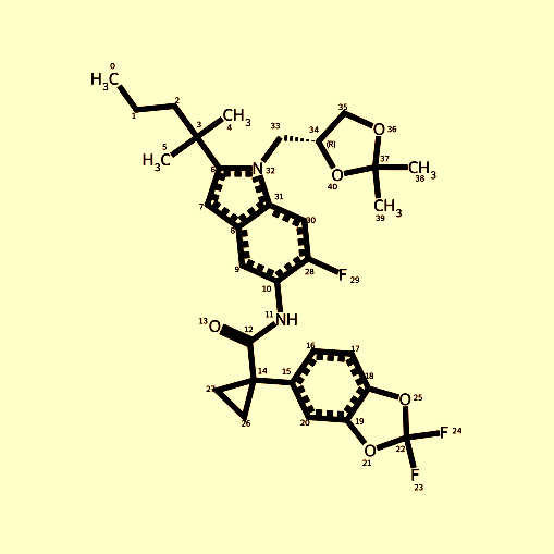 CCCC(C)(C)c1cc2cc(NC(=O)C3(c4ccc5c(c4)OC(F)(F)O5)CC3)c(F)cc2n1C[C@@H]1COC(C)(C)O1